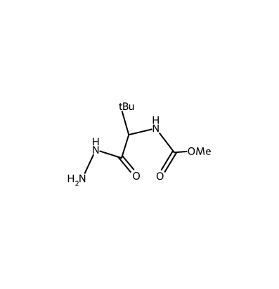 COC(=O)NC(C(=O)NN)C(C)(C)C